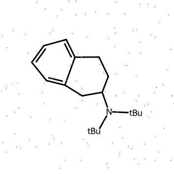 CC(C)(C)N(C1CCc2ccccc2C1)C(C)(C)C